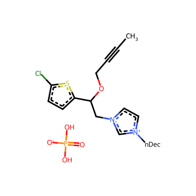 CC#CCOC(Cn1cc[n+](CCCCCCCCCC)c1)c1ccc(Cl)s1.O=P([O-])(O)O